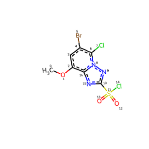 COc1cc(Br)c(Cl)n2nc(S(=O)(=O)Cl)nc12